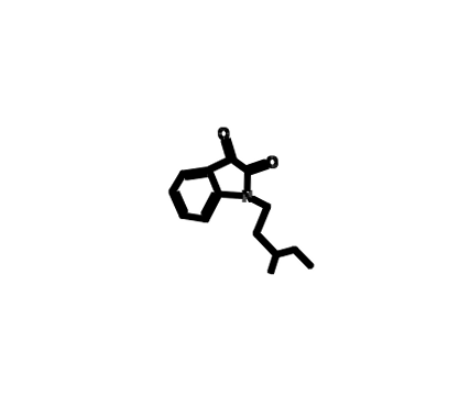 CCC(C)CCN1C(=O)C(=O)c2ccccc21